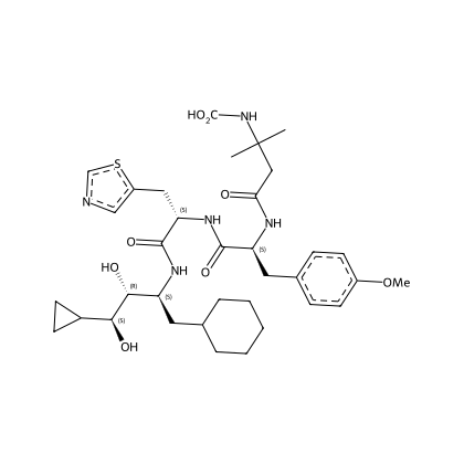 COc1ccc(C[C@H](NC(=O)CC(C)(C)NC(=O)O)C(=O)N[C@@H](Cc2cncs2)C(=O)N[C@@H](CC2CCCCC2)[C@@H](O)[C@@H](O)C2CC2)cc1